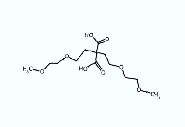 COCCOCCC(CCOCCOC)(C(=O)O)C(=O)O